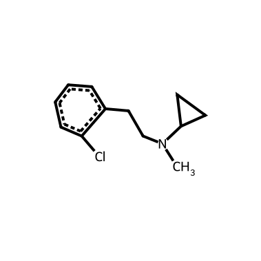 CN(CCc1ccccc1Cl)C1CC1